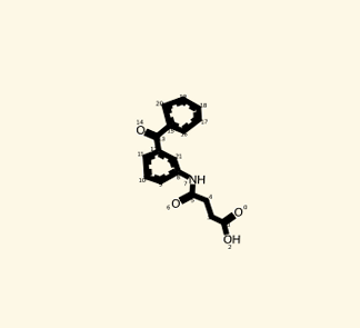 O=C(O)CCC(=O)Nc1cccc(C(=O)c2ccccc2)c1